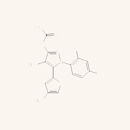 Cc1csc(-c2c(C)c(OC(=O)O)nn2-c2ccc(Cl)cc2Cl)c1